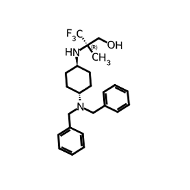 C[C@](CO)(N[C@H]1CC[C@H](N(Cc2ccccc2)Cc2ccccc2)CC1)C(F)(F)F